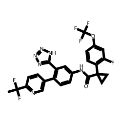 CC(F)(F)c1ccc(-c2ccc(NC(=O)C3(c4ccc(OC(F)(F)F)cc4F)CC3)cc2-c2nnn[nH]2)cn1